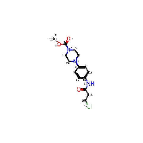 CC(C)(C)OC(=O)N1CCN(c2ccc(NC(=O)CCCl)cc2)CC1